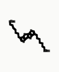 CCCCCCCCCCCCCCCCCc1csc2c1sc1c3scc(CCCCCCCCCCCCCCCCC)c3sc21